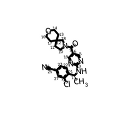 C[C@@H](Nc1ncc(C(=O)N2CCC3(CCOCC3)C2)cn1)c1ccc(C#N)cc1Cl